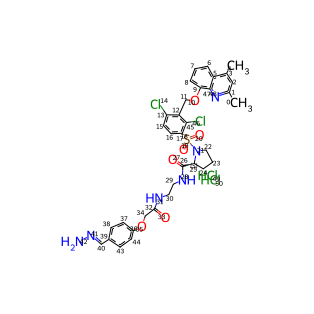 Cc1cc(C)c2cccc(OCc3c(Cl)ccc(S(=O)(=O)N4CCC[C@H]4C(=O)NCCNC(=O)COc4ccc(C=NN)cc4)c3Cl)c2n1.Cl.Cl